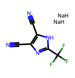 N#Cc1nc(C(F)(F)F)[nH]c1C#N.[NaH].[NaH]